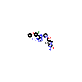 CC(C=C(C#N)CC(=O)N1CCC[C@@H](n2nc(-c3ccc(Oc4ccccc4)cc3F)c3c(N)ncnc32)C1)N1CCNC(=O)C1